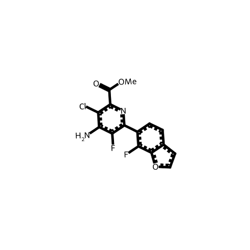 COC(=O)c1nc(-c2ccc3ccoc3c2F)c(F)c(N)c1Cl